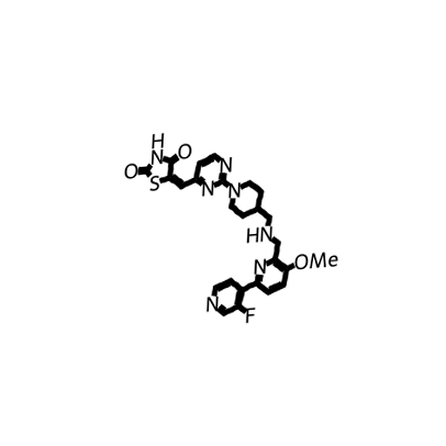 COc1ccc(-c2ccncc2F)nc1CNCC1CCN(c2nccc(C=C3SC(=O)NC3=O)n2)CC1